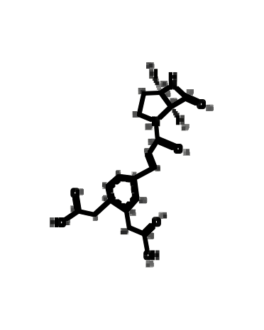 O=C(O)Cc1ccc(/C=C/C(=O)N2CC[C@H]3NC(=O)[C@H]32)cc1CC(=O)O